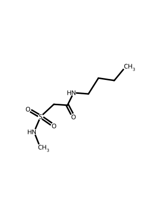 CCCCNC(=O)CS(=O)(=O)NC